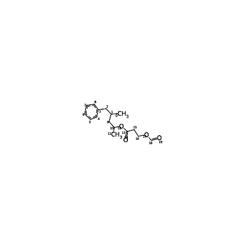 CC(Cc1ccccc1)CC(C)OC(=O)CCOC=O